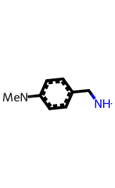 CNc1ccc(C[NH])cc1